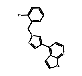 N#Cc1ccccc1Cn1cc(-c2ccnc3[nH]ccc23)cn1